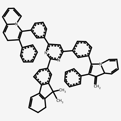 C=C1C(c2ccccc2)=C(c2cccc(-c3cc(-c4cccc(C5=C(c6ccccc6)CC=C6C=CC=CN65)c4)nc(-c4ccc5c(c4)C(C)(C)C4=C5C=CCC4)n3)c2)N2C=CC=CC12